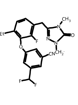 [CH2]n1nc(Cc2ccc(CC)c(Oc3cc(C#N)cc(C(F)F)c3)c2F)n(C)c1=O